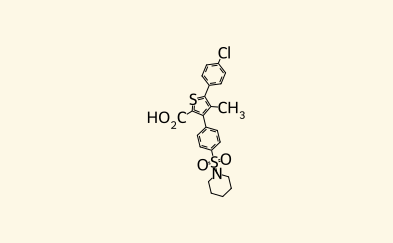 Cc1c(-c2ccc(Cl)cc2)sc(C(=O)O)c1-c1ccc(S(=O)(=O)N2CCCCC2)cc1